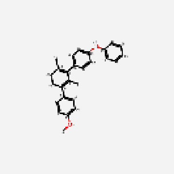 COc1ccc(C2=C(C)C(c3ccc(Oc4ccccc4)cc3)=C(C)C[CH]2)cc1